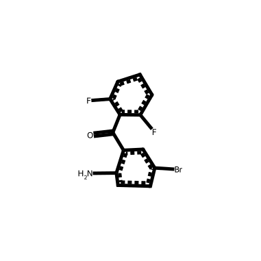 Nc1ccc(Br)cc1C(=O)c1c(F)cccc1F